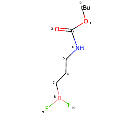 CC(C)(C)OC(=O)NCCCB(F)F